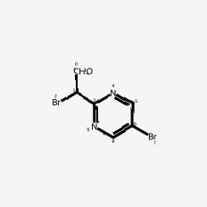 O=CC(Br)c1ncc(Br)cn1